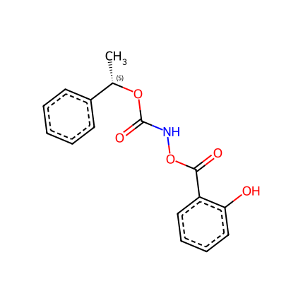 C[C@H](OC(=O)NOC(=O)c1ccccc1O)c1ccccc1